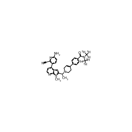 [2H]C([2H])([2H])N(C(=O)c1ccc(C2=CCN([C@@H](C)c3cc4c(-c5ccc(N)nc5C#N)ccnc4n3C)CC2)cc1)C([2H])([2H])[2H]